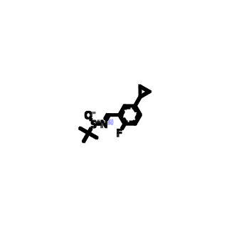 CC(C)(C)[S+]([O-])/N=C/c1cc(C2CC2)ccc1F